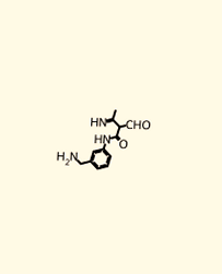 CC(=N)C(C=O)C(=O)Nc1cccc(CN)c1